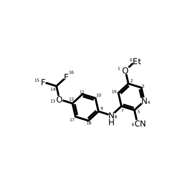 CCOc1cnc(C#N)c(Nc2ccc(OC(F)F)cc2)c1